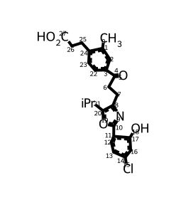 Cc1cc(C(=O)CCc2nc(-c3ccc(Cl)cc3O)oc2C(C)C)ccc1CCC(=O)O